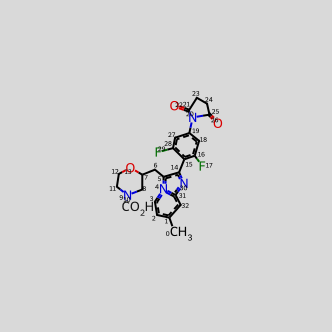 Cc1ccn2c(CC3CN(C(=O)O)CCO3)c(-c3c(F)cc(N4C(=O)CCC4=O)cc3F)nc2c1